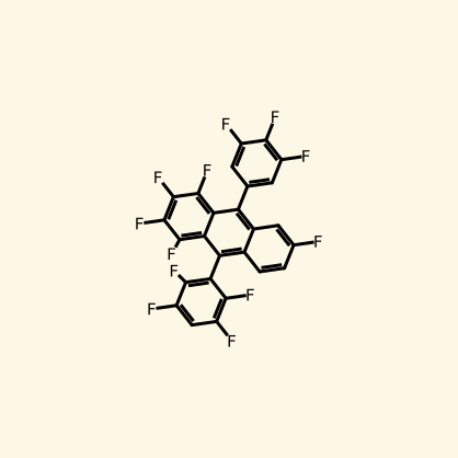 Fc1ccc2c(-c3c(F)c(F)cc(F)c3F)c3c(F)c(F)c(F)c(F)c3c(-c3cc(F)c(F)c(F)c3)c2c1